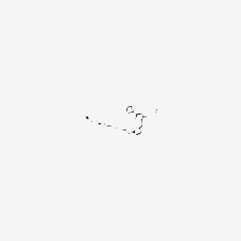 CCCOc1cc(-c2ccc[nH]2)[nH]c1C=C1C=CC(CCCCCCCCCCCC#N)=N1